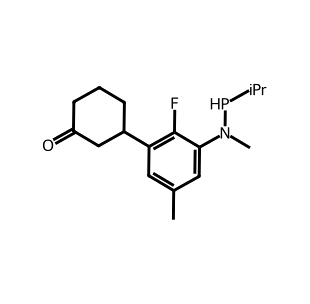 Cc1cc(C2CCCC(=O)C2)c(F)c(N(C)PC(C)C)c1